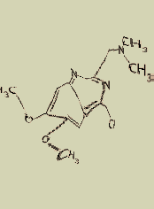 COc1cc2nc(CN(C)C)nc(Cl)c2cc1OC